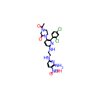 CC(=O)N1CCN(c2ccc(NCCNc3ccc([NH+]([O-])O)c(N)n3)nc2-c2ccc(Cl)cc2Cl)C(=O)C1